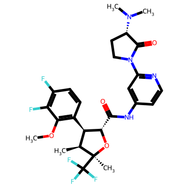 COc1c([C@H]2[C@H](C(=O)Nc3ccnc(N4CC[C@H](N(C)C)C4=O)c3)O[C@@](C)(C(F)(F)F)[C@H]2C)ccc(F)c1F